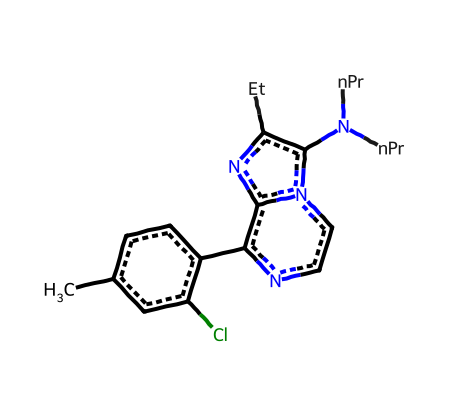 CCCN(CCC)c1c(CC)nc2c(-c3ccc(C)cc3Cl)nccn12